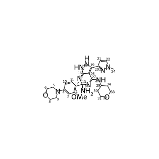 COc1cc(N2CCOCC2)ccc1C1(N)N=C2NNC(c3ccn(C)n3)=C2C(NC2CCOCC2)=N1